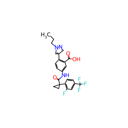 CCCn1cc(-c2ccc(NC(=O)C3(c4ccc(C(F)(F)F)cc4F)CC3)cc2C(=O)O)cn1